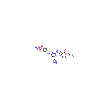 CCOC(=O)c1sc(Nc2nc(NCc3ccc(S(N)(=O)=O)cc3)cc(-c3cnco3)n2)nc1C